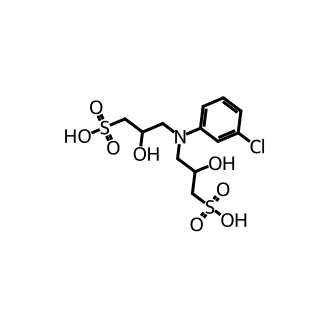 O=S(=O)(O)CC(O)CN(CC(O)CS(=O)(=O)O)c1cccc(Cl)c1